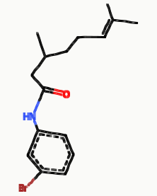 CC(C)=CCCC(C)CC(=O)Nc1cccc(Br)c1